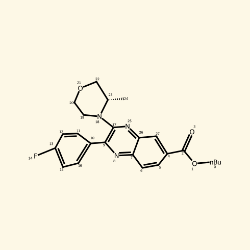 CCCCOC(=O)c1ccc2nc(-c3ccc(F)cc3)c(N3CCOC[C@@H]3C)nc2c1